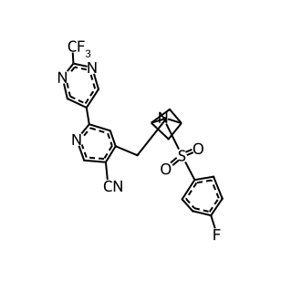 N#Cc1cnc(-c2cnc(C(F)(F)F)nc2)cc1CC1C2CC(C2)N1S(=O)(=O)c1ccc(F)cc1